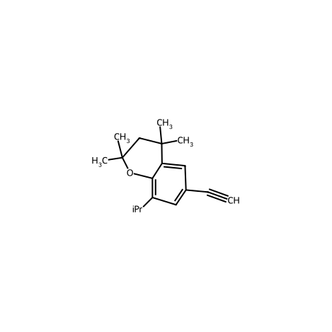 C#Cc1cc(C(C)C)c2c(c1)C(C)(C)CC(C)(C)O2